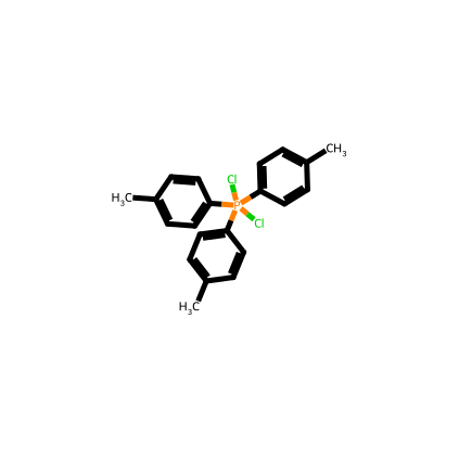 Cc1ccc(P(Cl)(Cl)(c2ccc(C)cc2)c2ccc(C)cc2)cc1